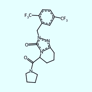 O=C(C1CCCc2nn(Cc3cc(C(F)(F)F)ccc3C(F)(F)F)c(=O)n21)N1CCCC1